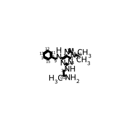 CC(N)CNc1nc(NCc2ccccc2)c2nnn(C(C)C)c2n1